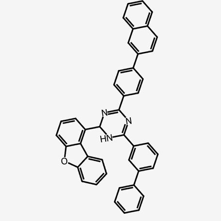 c1ccc(-c2cccc(C3=NC(c4ccc(-c5ccc6ccccc6c5)cc4)=NC(c4cccc5oc6ccccc6c45)N3)c2)cc1